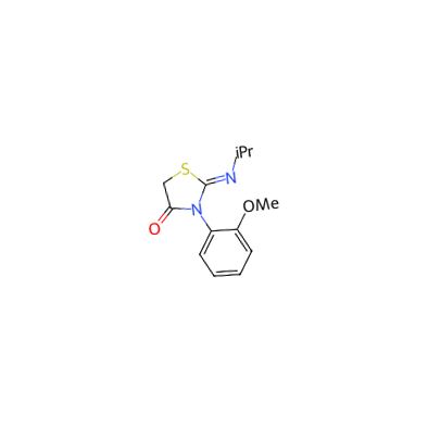 COc1ccccc1N1C(=O)CS/C1=N\C(C)C